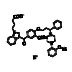 CCOc1ccccc1N1CCN(C(CCOc2ccc(C(=O)c3cn(CCCC(=O)[O-])c4ccccc34)cc2OC)c2ccccc2)CC1.[K+]